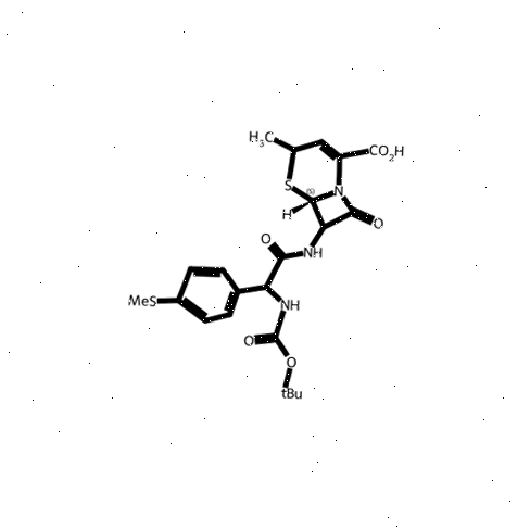 CSc1ccc(C(NC(=O)OC(C)(C)C)C(=O)NC2C(=O)N3C(C(=O)O)=CC(C)S[C@@H]23)cc1